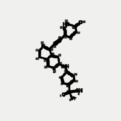 CC(C)S(=N)(=O)c1ccc(Nc2cc3c(C#Cc4ccc(=O)[nH]n4)nccc3cn2)cc1